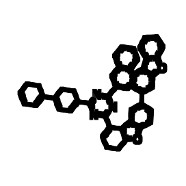 C1=CCCC(C2=CC=C(c3nc(C4=CCCc5oc6ccc(-c7ccc8c(c7)oc7ccccc78)cc6c54)nc(-c4ccc5ccccc5c4)n3)CC2)=C1